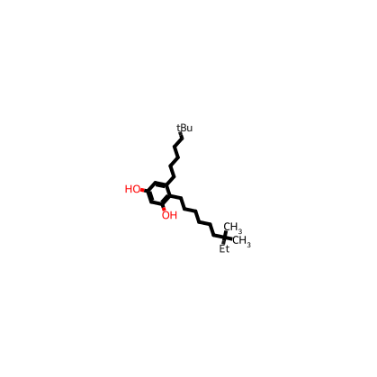 CCC(C)(C)CCCCCCc1c(O)cc(O)cc1CCCCCC(C)(C)C